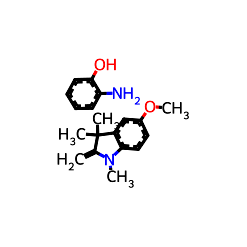 C=C1N(C)c2ccc(OC)cc2C1(C)C.Nc1ccccc1O